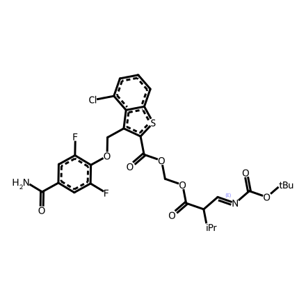 CC(C)C(/C=N/C(=O)OC(C)(C)C)C(=O)OCOC(=O)c1sc2cccc(Cl)c2c1COc1c(F)cc(C(N)=O)cc1F